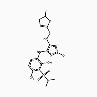 CC1CC=C(CNc2n[s+]([O-])nc2Nc2ccc(C(F)(F)F)c(S(=O)(=O)N(C)C)c2O)O1